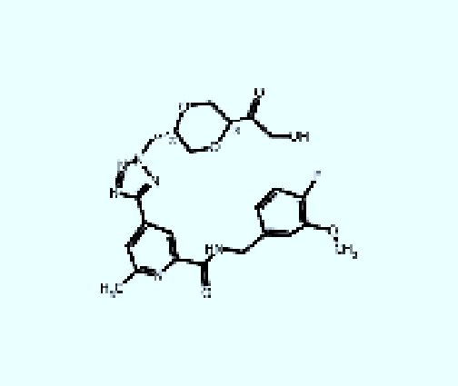 COc1cc(CNC(=O)c2cc(-c3nnn(C[C@H]4CO[C@H](C(=O)CO)CO4)n3)cc(C)n2)ccc1F